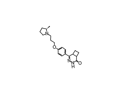 C[C@@H]1CCCN1CCCOc1ccc(C2=NNC(=O)C3CCC23)cc1